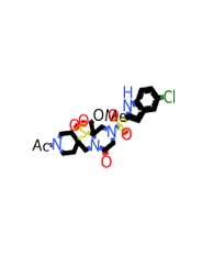 COCC12CN(S(=O)(=O)c3cc4cc(Cl)ccc4[nH]3)CC(=O)N1CC1(CCN(C(C)=O)CC1)S2(=O)=O